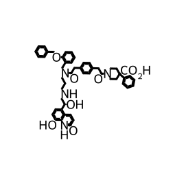 O=C(Cc1ccc(CC(=O)N(CCCNC[C@H](O)c2ccc(O)c3[nH]c(=O)ccc23)Cc2ccccc2OCc2ccccc2)cc1)N1CCC(C(=O)O)(c2ccccc2)CC1